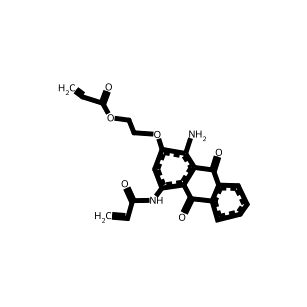 C=CC(=O)Nc1cc(OCCOC(=O)C=C)c(N)c2c1C(=O)c1ccccc1C2=O